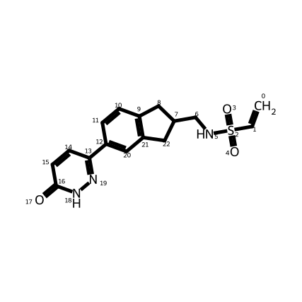 C=CS(=O)(=O)NCC1Cc2ccc(-c3ccc(=O)[nH]n3)cc2C1